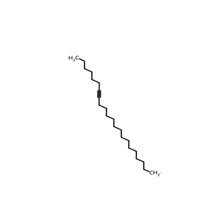 [CH2]CCCCCC#CCCCCCCCCCCCCC[CH2]